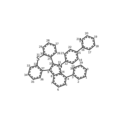 c1ccc(-c2cccc3c4c(n(-c5ccc(-c6ccccn6)cc5)c23)-c2ccccc2Sc2ccccc2-4)cc1